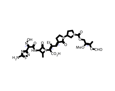 CCC(/C=C1\CCN(C2CCN(C(=O)OC/C(OC)=C(\C)OC=O)C2)C1=O)=C(/C(=O)O)N1C(=O)C(NC(=O)/C(=N\O)c2nsc(N)n2)C1C